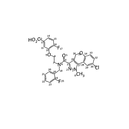 Cn1nc(C(=O)N(CCOc2cc(C(=O)O)ccc2F)Cc2ccccc2F)c2c1-c1cc(Cl)ccc1OC2